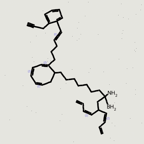 BC(N)(CCCCCCCC1C\C=C/C=C\C=C/1CCC/C=C/c1ccccc1CC#C)CC(/C=C\C=C)/C=C\C=C